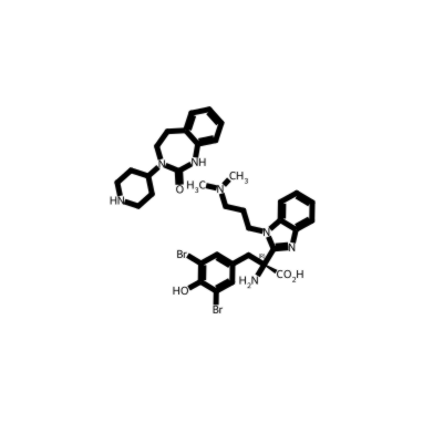 CN(C)CCCn1c([C@](N)(Cc2cc(Br)c(O)c(Br)c2)C(=O)O)nc2ccccc21.O=C1Nc2ccccc2CCN1C1CCNCC1